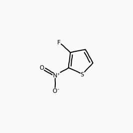 O=[N+]([O-])c1sccc1F